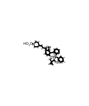 CC(C)(C)C(O[SiH](c1ccccc1)c1ccccc1)C1(COc2ccc3c(CCC4CCN(C(=O)O)CC4)noc3c2CO)CC1